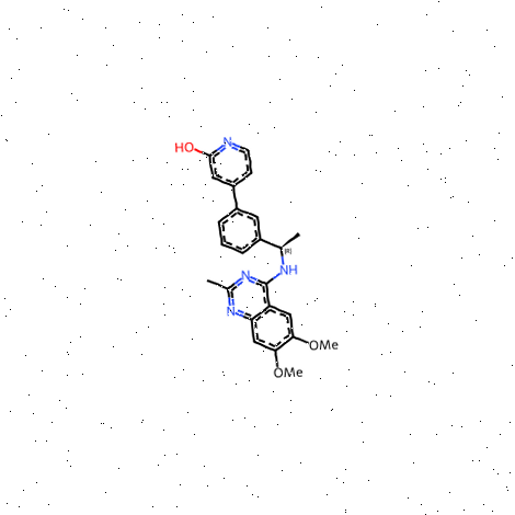 COc1cc2nc(C)nc(N[C@H](C)c3cccc(-c4ccnc(O)c4)c3)c2cc1OC